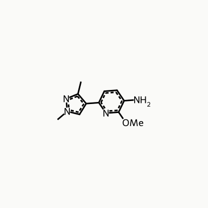 COc1nc(-c2cn(C)nc2C)ccc1N